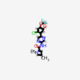 CCn1cc(C)cc1C(=O)Nc1cnc(-c2cc3c(cc2Cl)OC(F)(F)O3)cn1